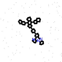 c1ccc2cc(-c3c4ccccc4c(-c4ccc5ccccc5c4)c4cc(-c5ccc(-c6ccc7c(c6)c6ncccc6n6c8ccccc8nc76)cc5)ccc34)ccc2c1